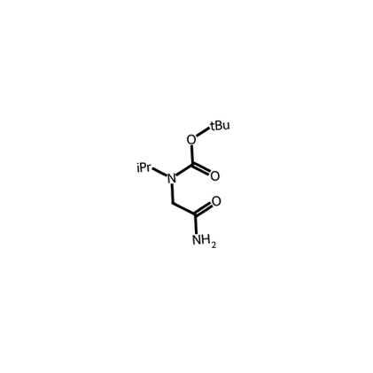 CC(C)N(CC(N)=O)C(=O)OC(C)(C)C